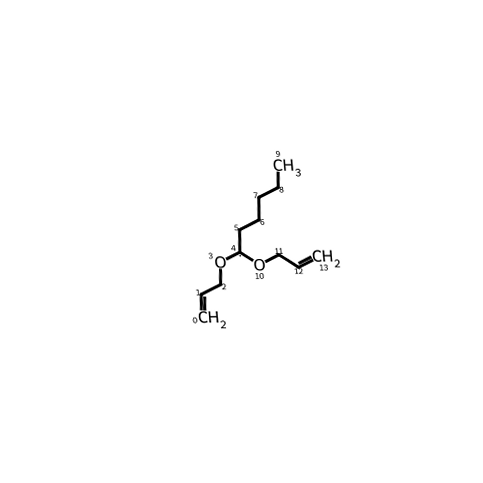 C=CCO[C](CCCCC)OCC=C